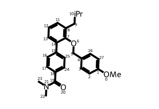 COc1ccc(COc2c(CC(C)C)cccc2-c2ccc(C(=O)N(C)C)cc2)cc1